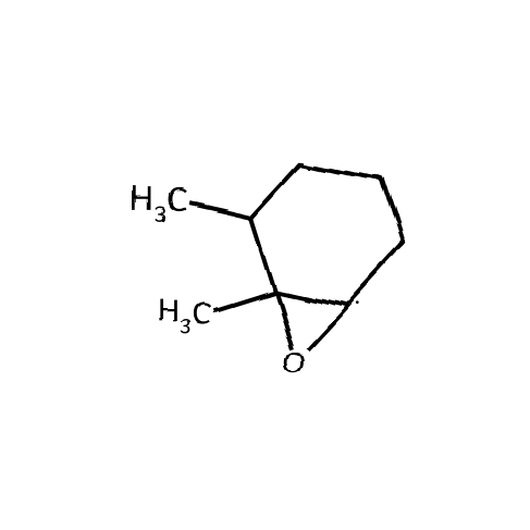 CC1CCC[C]2OC21C